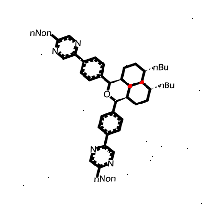 CCCCCCCCCc1cnc(-c2ccc(C(OC(c3ccc(-c4cnc(CCCCCCCCC)cn4)cc3)[C@H]3CC[C@H](CCCC)CC3)[C@H]3CC[C@H](CCCC)CC3)cc2)cn1